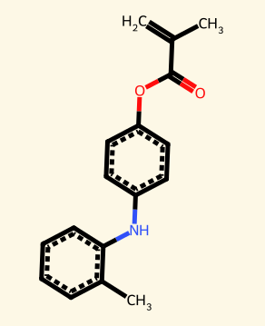 C=C(C)C(=O)Oc1ccc(Nc2ccccc2C)cc1